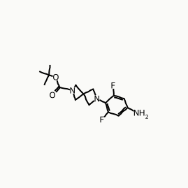 CC(C)(C)OC(=O)N1CC2(C1)CN(c1c(F)cc(N)cc1F)C2